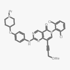 COCC#Cc1cn(-c2c(Cl)cccc2Cl)c(=O)c2cnc(Nc3ccc(OC4CCN(C(C)C)CC4)cc3)nc12